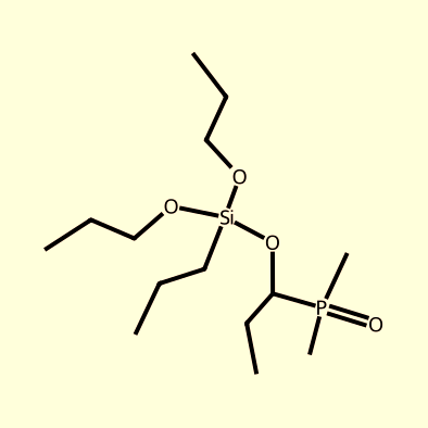 CCCO[Si](CCC)(OCCC)OC(CC)P(C)(C)=O